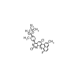 Cc1cc(-c2c(Cl)cc3c(N4CCN(C(=O)OC(C)(C)C)C(C)C4)nc(Cl)nc3c2F)c2c(F)c(F)ccc2c1